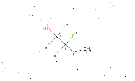 CCC(F)(F)C(O)(F)F